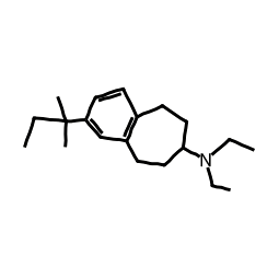 CCN(CC)C1CCc2ccc(C(C)(C)CC)cc2CC1